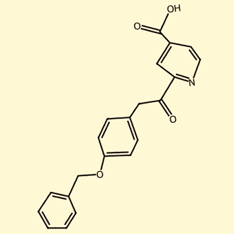 O=C(O)c1ccnc(C(=O)Cc2ccc(OCc3ccccc3)cc2)c1